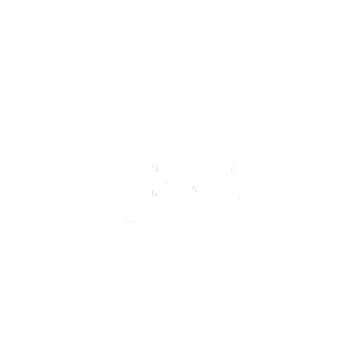 O=C(O)CN(CC(=O)O)CC(Cc1ccccc1)(N(CC(=O)O)CC(=O)O)[N+](=O)[O-]